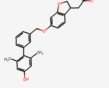 COC(=O)CC1COc2cc(OCc3cccc(-c4c(C)cc(O)cc4C)c3)ccc21